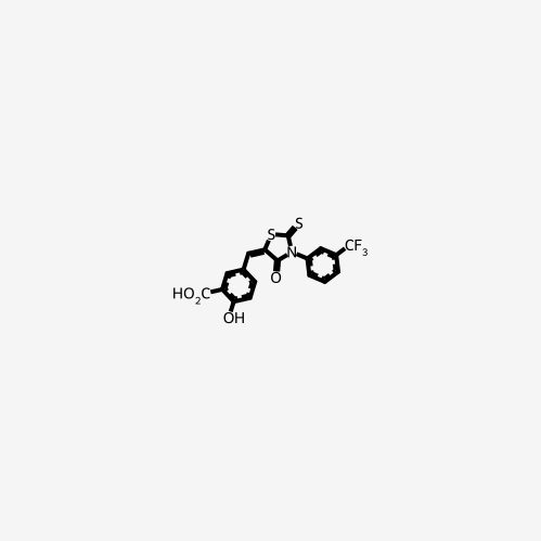 O=C(O)c1cc(/C=C2/SC(=S)N(c3cccc(C(F)(F)F)c3)C2=O)ccc1O